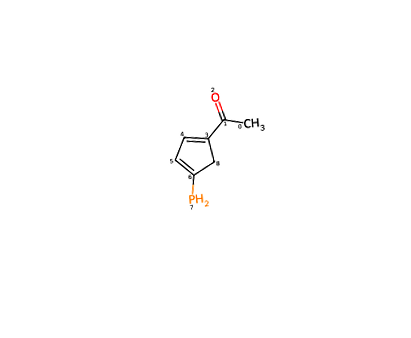 CC(=O)C1=CC=C(P)C1